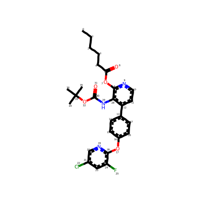 CCCCCC(=O)Oc1nccc(-c2ccc(Oc3ncc(Cl)cc3F)cc2)c1NC(=O)OC(C)(C)C